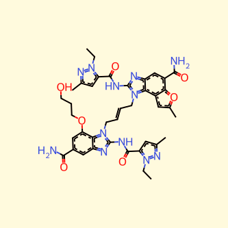 CCn1nc(C)cc1C(=O)Nc1nc2cc(C(N)=O)cc(OCCCO)c2n1C/C=C/Cn1c(NC(=O)c2cc(C)nn2CC)nc2cc(C(N)=O)c3oc(C)cc3c21